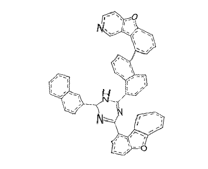 c1ccc2cc(C3N=C(c4cccc5oc6ccccc6c45)N=C(c4cccc5c(-c6cccc7oc8ccncc8c67)cccc45)N3)ccc2c1